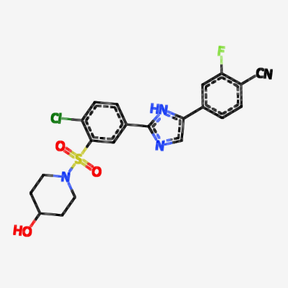 N#Cc1ccc(-c2cnc(-c3ccc(Cl)c(S(=O)(=O)N4CCC(O)CC4)c3)[nH]2)cc1F